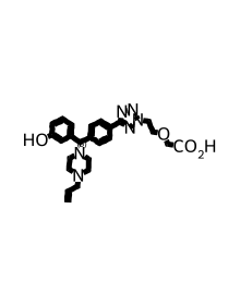 C=CCN1CCN([C@@H](c2ccc(-c3nnn(CCOCC(=O)O)n3)cc2)c2cccc(O)c2)CC1